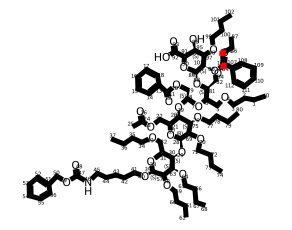 CCCCOCC(O[C@H](COC(=O)c1ccccc1)O[C@@H]1C(COC(C)=O)O[C@H](O[C@H]2C(COCCCC)O[C@H](OCCCCCNC(=O)OCc3ccccc3)C(OCCCC)[C@H]2OCCCC)C(OCCCC)[C@H]1OCCCC)[C@H](COCCCC)O[C@@H]1OC(C(=O)O)[C@@H](O)C(OCCCC)[C@@H]1OC(=O)c1ccccc1